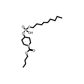 CCCCCCCCCOP(=O)(O)OC1CCN(C(=O)OCCCC)CC1